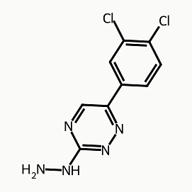 NNc1ncc(-c2ccc(Cl)c(Cl)c2)nn1